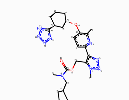 Cc1nc(-c2nnn(C)c2COC(=O)N(C)CC2CCC2)ccc1O[C@H]1CCC[C@H](c2nnn[nH]2)C1